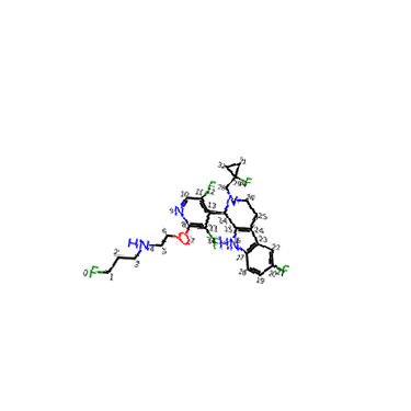 FCCCNCCOc1ncc(F)c([C@@H]2c3[nH]c4ccc(F)cc4c3CCN2CC2(F)CC2)c1F